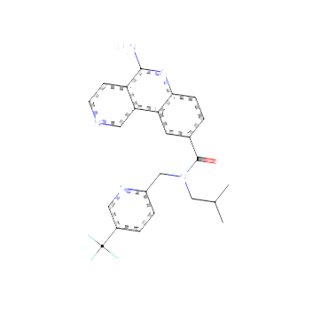 CC(C)CN(Cc1ccc(C(F)(F)F)cn1)C(=O)c1ccc2nc(N)c3ccncc3c2c1